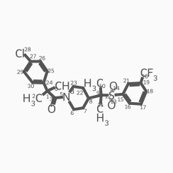 CC(C)(C(=O)N1CCC(C(C)(C)S(=O)(=O)c2cccc(C(F)(F)F)c2)CC1)c1ccc(Cl)cc1